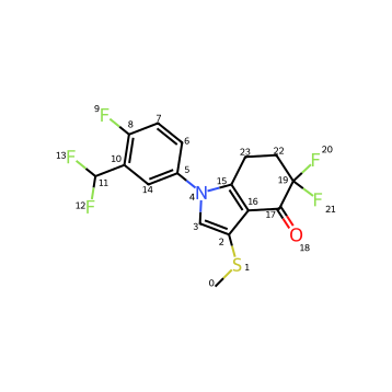 CSc1cn(-c2ccc(F)c(C(F)F)c2)c2c1C(=O)C(F)(F)CC2